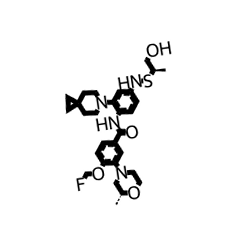 C[C@@H]1CN(c2cc(C(=O)Nc3ccc(NS[C@H](C)CO)cc3N3CCC4(CC3)CC4)ccc2OCF)CCO1